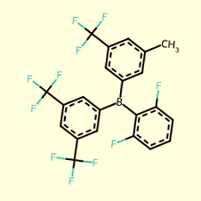 Cc1cc(B(c2cc(C(F)(F)F)cc(C(F)(F)F)c2)c2c(F)cccc2F)cc(C(F)(F)F)c1